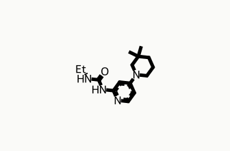 CCNC(=O)Nc1cc(N2CCCC(C)(C)C2)ccn1